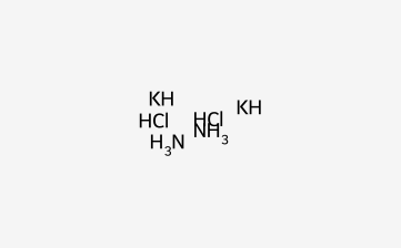 Cl.Cl.N.N.[KH].[KH]